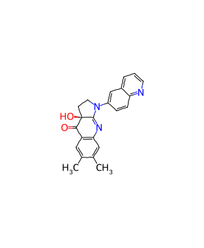 Cc1cc2c(cc1C)C(=O)[C@]1(O)CCN(c3ccc4ncccc4c3)C1=N2